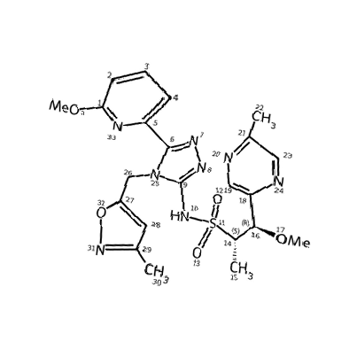 COc1cccc(-c2nnc(NS(=O)(=O)[C@@H](C)[C@H](OC)c3cnc(C)cn3)n2Cc2cc(C)no2)n1